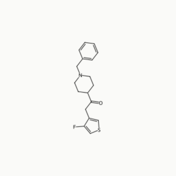 O=C(Cc1cscc1F)C1CCN(Cc2ccccc2)CC1